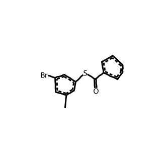 Cc1cc(Br)cc(SC(=O)c2ccccc2)c1